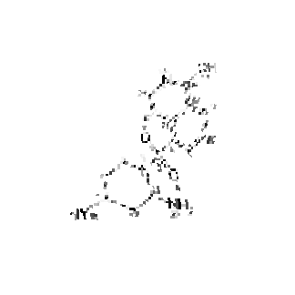 CCCC1CCN(S(=O)(=O)c2cccc3c(O)nccc23)C(N)C1